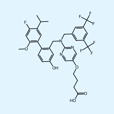 COc1cc(F)c(C(C)C)cc1-c1ccc(O)cc1CN(Cc1cc(C(F)(F)F)cc(C(F)(F)F)c1)c1ncc(OCCCC(=O)O)cn1